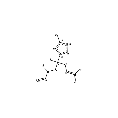 CC(C)=CCC(C)(CC(C)C=O)c1csc(C)c1